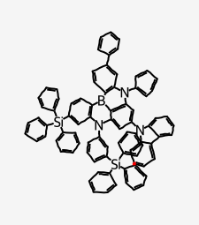 c1ccc(-c2ccc3c(c2)N(c2ccccc2)c2cc(-n4c5ccccc5c5ccccc54)cc4c2B3c2ccc([Si](c3ccccc3)(c3ccccc3)c3ccccc3)cc2N4c2cccc([Si](c3ccccc3)(c3ccccc3)c3ccccc3)c2)cc1